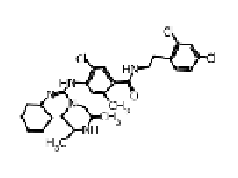 Cc1cc(N/C(=N/C2CCCCC2)N2CC(C)NC(C)C2)c(Cl)cc1C(=O)NCCc1ccc(Cl)cc1Cl